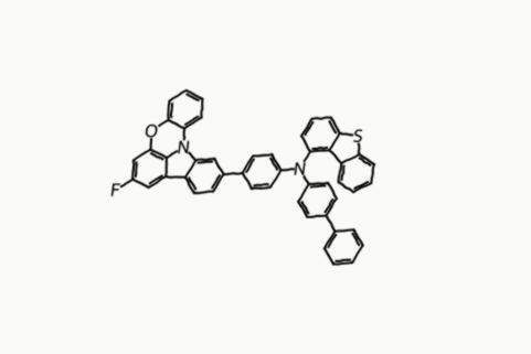 Fc1cc2c3c(c1)c1ccc(-c4ccc(N(c5ccc(-c6ccccc6)cc5)c5cccc6sc7ccccc7c56)cc4)cc1n3-c1ccccc1O2